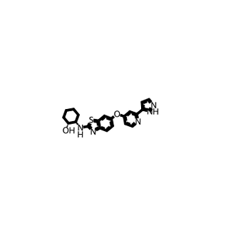 O[C@@H]1CCCC[C@H]1Nc1nc2ccc(Oc3ccnc(-c4ccn[nH]4)c3)cc2s1